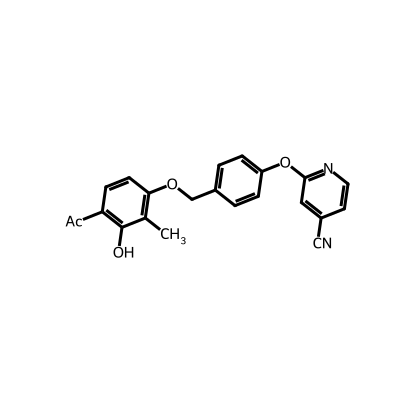 CC(=O)c1ccc(OCc2ccc(Oc3cc(C#N)ccn3)cc2)c(C)c1O